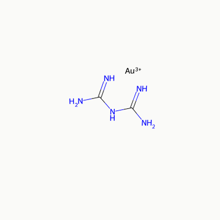 N=C(N)NC(=N)N.[Au+3]